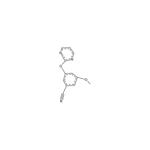 COc1cc(C#N)cc(Oc2ncccn2)c1